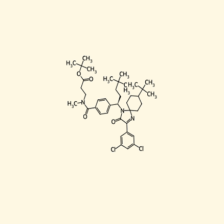 CN(CCC(=O)OC(C)(C)C)C(=O)c1ccc([C@@H](CCC(C)(C)C)N2C(=O)C(c3cc(Cl)cc(Cl)c3)=NC23CCC(C(C)(C)C)CC3)cc1